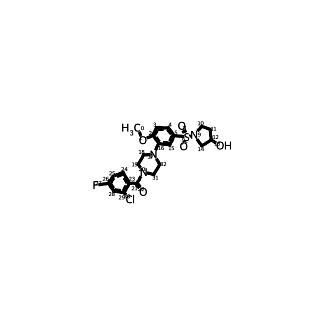 COc1ccc(S(=O)(=O)N2CCC(O)C2)cc1N1CCN(C(=O)c2ccc(F)cc2Cl)CC1